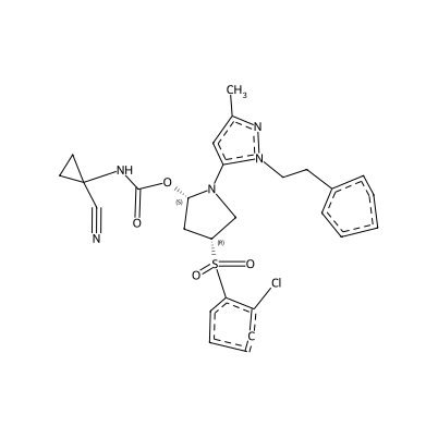 Cc1cc(N2C[C@H](S(=O)(=O)c3ccccc3Cl)C[C@@H]2OC(=O)NC2(C#N)CC2)n(CCc2ccccc2)n1